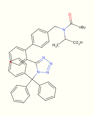 CCCCC(=O)N(Cc1ccc(-c2ccccc2-c2nnnn2C(c2ccccc2)(c2ccccc2)c2ccccc2)cc1)C(C)C(=O)O